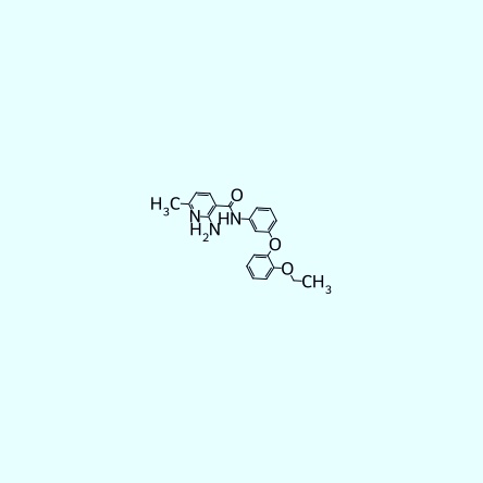 CCOc1ccccc1Oc1cccc(NC(=O)c2ccc(C)nc2N)c1